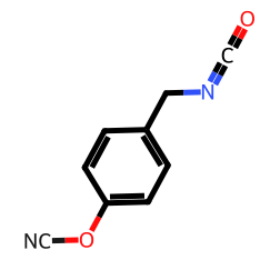 N#COc1ccc(CN=C=O)cc1